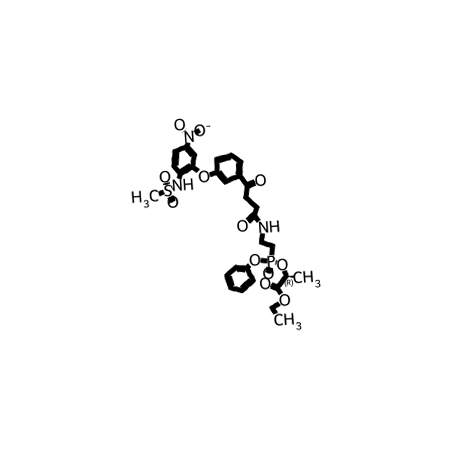 CCOC(=O)[C@@H](C)OP(=O)(CCNC(=O)CCC(=O)c1cccc(Oc2cc([N+](=O)[O-])ccc2NS(C)(=O)=O)c1)Oc1ccccc1